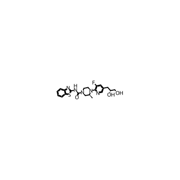 C[C@H]1CN(C(=O)Nc2nc3ccccc3s2)CCN1c1ncc(C[C@@H](O)CO)cc1F